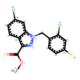 COC(=O)c1nn(Cc2ccc(F)cc2Cl)c2cc(Cl)ccc12